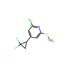 CSc1cc(C2CC2(F)F)cc(Cl)n1